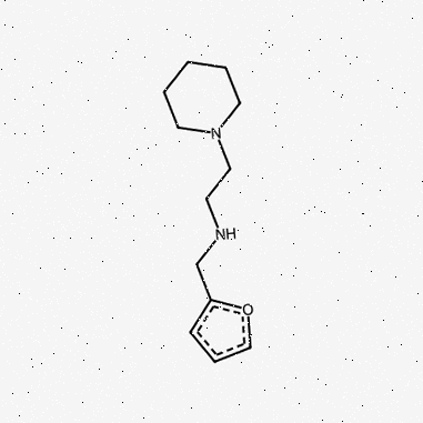 c1coc(CNCCN2CCCCC2)c1